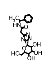 CC(NC(=O)Cc1nnn(C2OC(CO)C(O)C(O)C2O)n1)c1ccccc1